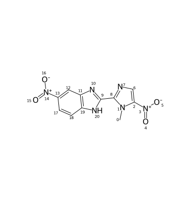 Cn1c([N+](=O)[O-])cnc1-c1nc2cc([N+](=O)[O-])ccc2[nH]1